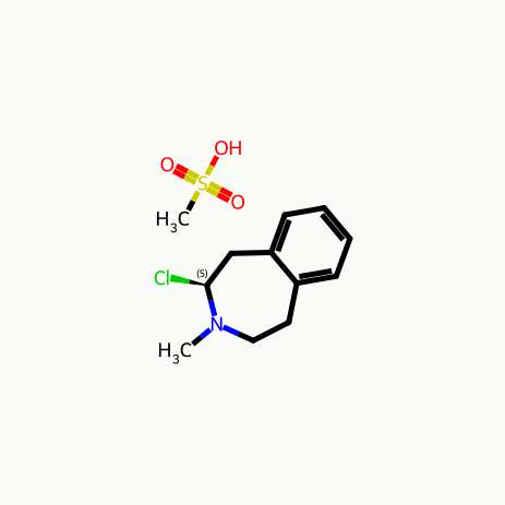 CN1CCc2ccccc2C[C@@H]1Cl.CS(=O)(=O)O